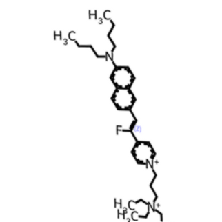 CCCCN(CCCC)c1ccc2cc(/C=C(\F)c3cc[n+](CCC[N+](CC)(CC)CC)cc3)ccc2c1